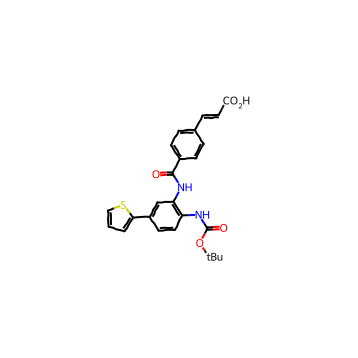 CC(C)(C)OC(=O)Nc1ccc(-c2cccs2)cc1NC(=O)c1ccc(C=CC(=O)O)cc1